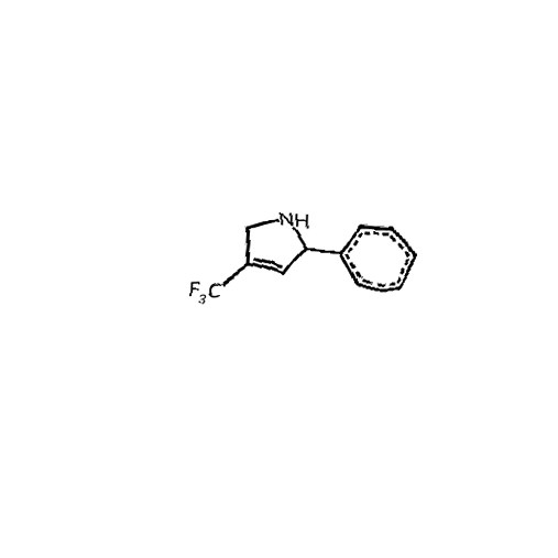 FC(F)(F)C1=CC(c2ccccc2)NC1